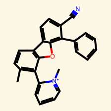 Cc1ccc2c(oc3c(-c4ccccc4)c(C#N)ccc32)c1-c1cccc[n+]1C